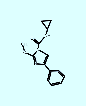 COc1nc(-c2ccccc2)cn1C(=O)NC1CC1